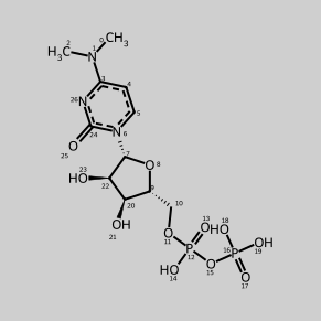 CN(C)c1ccn([C@@H]2O[C@H](COP(=O)(O)OP(=O)(O)O)[C@@H](O)[C@H]2O)c(=O)n1